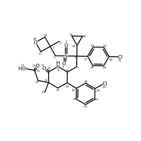 CC1(CS(=O)(=O)C(CC2NC(=O)C(C)(CC(=O)O)CC2c2cccc(Cl)c2)(c2ccc(Cl)cc2)C2CC2)COC1